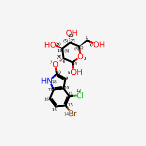 OC[C@H]1OC(O)[C@H](Oc2cc3c(Cl)c(Br)ccc3[nH]2)[C@@H](O)[C@@H]1O